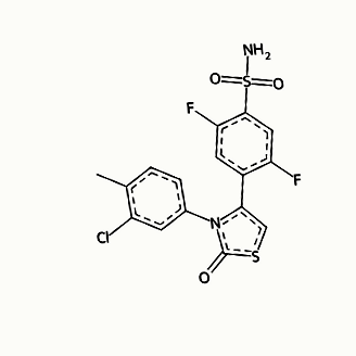 Cc1ccc(-n2c(-c3cc(F)c(S(N)(=O)=O)cc3F)csc2=O)cc1Cl